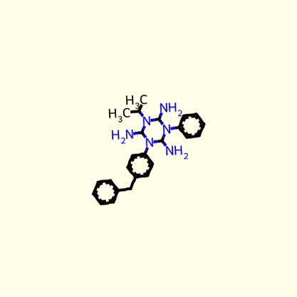 CC(C)N1C(N)N(c2ccccc2)C(N)N(c2ccc(Cc3ccccc3)cc2)C1N